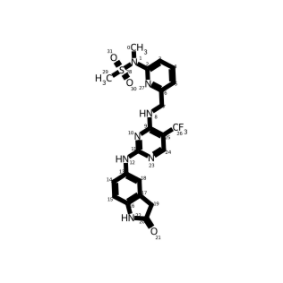 CN(c1cccc(CNc2nc(Nc3ccc4c(c3)CC(=O)N4)ncc2C(F)(F)F)n1)S(C)(=O)=O